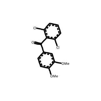 COc1ccc(C(=O)c2c(Cl)cccc2Cl)cc1OC